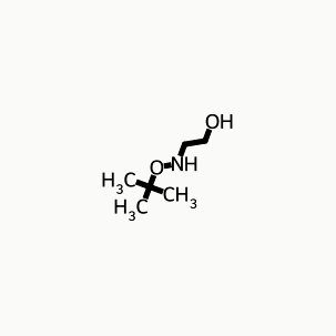 CC(C)(C)ONCCO